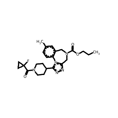 CCCOC(=O)N1Cc2cc(C)ccc2-n2c(nnc2C2CCN(C(=O)C3(F)CC3)CC2)C1